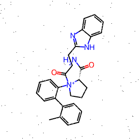 Cc1ccccc1-c1ccccc1[N+]1(C(=O)CCc2nc3ccccc3[nH]2)CCC[C@H]1C(N)=O